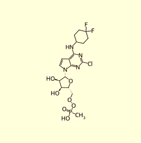 CP(=O)(O)OOC[C@H]1O[C@@H](n2ccc3c(NC4CCC(F)(F)CC4)nc(Cl)nc32)[C@H](O)[C@@H]1O